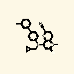 Cc1cccc(-c2ccc(N(CC3CC3)c3cc(=O)n(C)c4ccc(C#N)nc34)cc2)c1